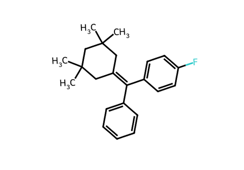 CC1(C)CC(=C(c2ccccc2)c2ccc(F)cc2)CC(C)(C)C1